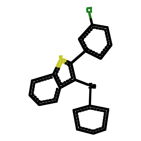 Clc1cccc(-c2sc3ccccc3c2[Se]c2ccccc2)c1